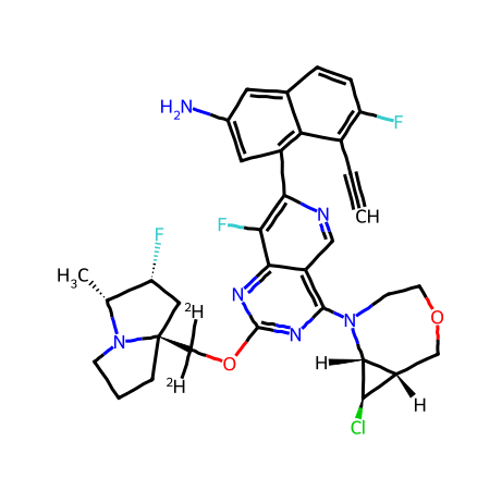 [2H]C([2H])(Oc1nc(N2CCOC[C@@H]3[C@@H](Cl)[C@@H]32)c2cnc(-c3cc(N)cc4ccc(F)c(C#C)c34)c(F)c2n1)[C@@]12CCCN1[C@H](C)[C@H](F)C2